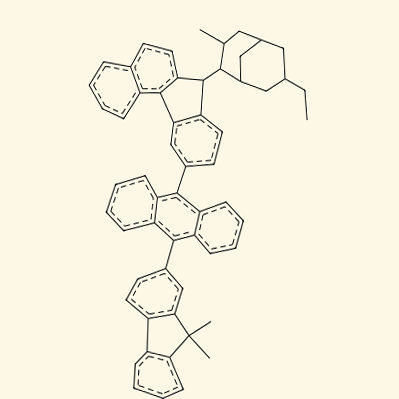 CCC1CC2CC(C)C(C3c4ccc(-c5c6ccccc6c(-c6ccc7c(c6)C(C)(C)c6ccccc6-7)c6ccccc56)cc4-c4c3ccc3ccccc43)C(C1)C2